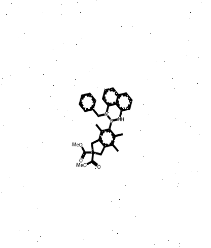 COC(=O)C1(C(=O)OC)Cc2c(C)c(C)c(B3Nc4cccc5cccc(c45)N3Cc3ccccc3)c(C)c2C1